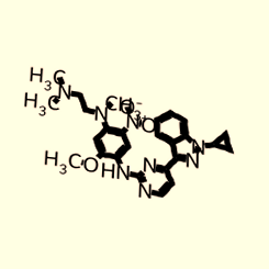 COc1cc(N(C)CCN(C)C)c([N+](=O)[O-])cc1Nc1nccc(-c2nn(C3CC3)c3ccccc23)n1